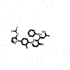 CC(=N)/C=C(\Nc1ccccc1)c1nn(-c2ccc(-n3nccc3OC(F)F)cc2C)ccc1=O